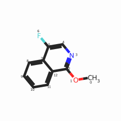 COc1ncc(F)c2ccccc12